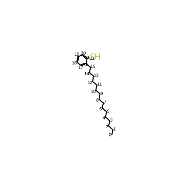 CCCCCCCCCCCCCCCCc1ccccc1S